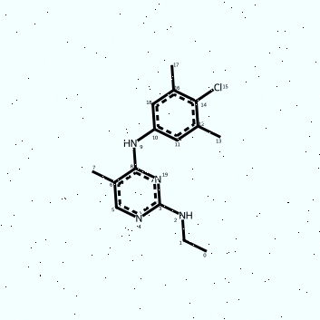 CCNc1ncc(C)c(Nc2cc(C)c(Cl)c(C)c2)n1